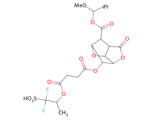 COC(OC(=O)C1C2OC3C(OC(=O)C31)C2OC(=O)CCC(=O)OC(C)C(F)(F)S(=O)(=O)O)C(C)C